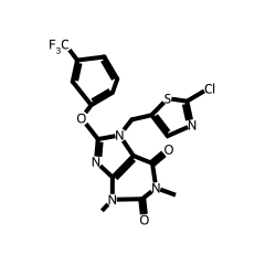 Cn1c(=O)c2c(nc(Oc3cccc(C(F)(F)F)c3)n2Cc2cnc(Cl)s2)n(C)c1=O